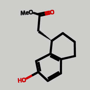 COC(=O)C[C@@H]1CCCc2ccc(O)cc21